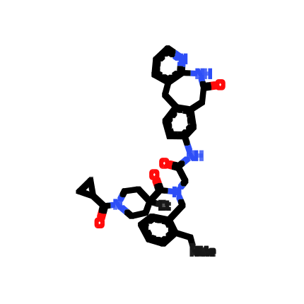 CCC1(C(=O)N(CC(=O)Nc2ccc3c(c2)CC(=O)Nc2ncccc2C3)Cc2ccccc2CNC)CCN(C(=O)C2CC2)CC1